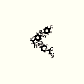 COCC(=O)N1CCC(NS(=O)(=O)c2cc(S(=O)(=O)c3ccc(F)cc3)ccc2C(C)C)CC1